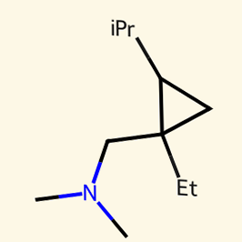 CCC1(CN(C)C)CC1C(C)C